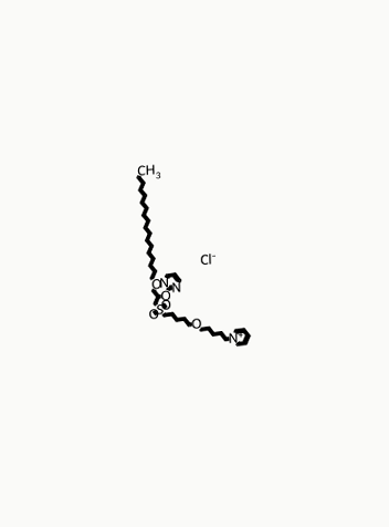 CCCCCCCCCCCCCCCCCCOCC(CS(=O)(=O)CCCCCOCCCCC[n+]1ccccc1)Oc1ncccn1.[Cl-]